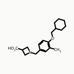 Cc1cc(CN2CC(C(=O)O)C2)ccc1OCC1CCCCC1